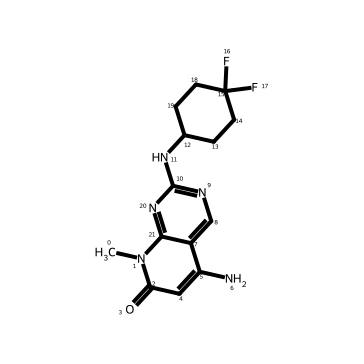 Cn1c(=O)cc(N)c2cnc(NC3CCC(F)(F)CC3)nc21